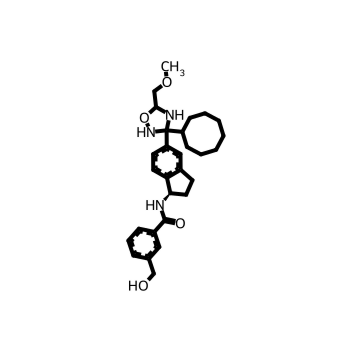 COCC1NC(c2ccc3c(c2)CC[C@H]3NC(=O)c2cccc(CO)c2)(C2CCCCCCC2)NO1